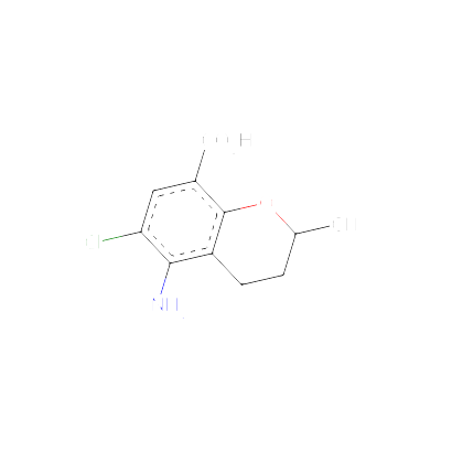 CC1CCc2c(N)c(Cl)cc(C(=O)O)c2O1